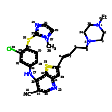 CCN1CCN(CCC=Cc2cc3ncc(C#N)c(Nc4ccc(Sc5nccn5C)c(Cl)c4)c3s2)CC1